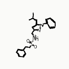 CC(C)Cc1cc(CNS(=O)(=O)CCc2ccccc2)nn1-c1ccccc1